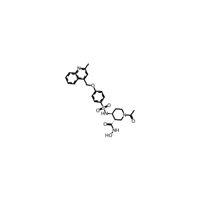 CC(=O)N1CC[C@H](NS(=O)(=O)c2ccc(OCc3cc(C)nc4ccccc34)cc2)[C@@H](C(=O)NO)C1